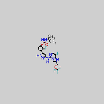 CC(C)NC(=O)O[C@@H]1CC[C@H](c2cc(Nc3ncc(F)c4nc(COC(F)(F)F)cn34)n[nH]2)[C@@H]1F